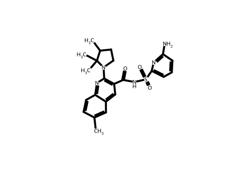 Cc1ccc2nc(N3CCC(C)C3(C)C)c(C(=O)NS(=O)(=O)c3cccc(N)n3)cc2c1